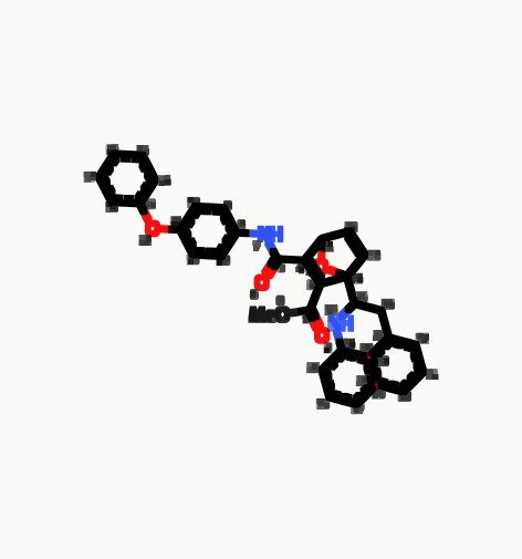 COC(=O)C1=C(C(=O)Nc2ccc(Oc3ccccc3)cc2)C2C=CC1(C(Cc1ccccc1)Nc1ccccc1)O2